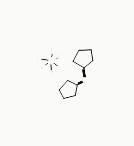 C1CC[C](=[Co+]=[C]2CCCC2)C1.F[P-](F)(F)(F)(F)F